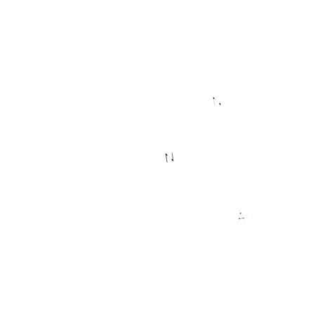 CC(=O)CCn1c(CN(C)C)cc2ccccc21